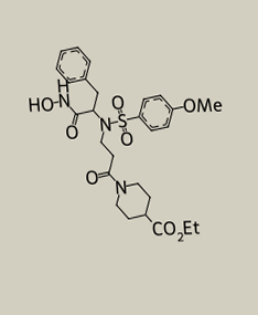 CCOC(=O)C1CCN(C(=O)CCN(C(Cc2ccccc2)C(=O)NO)S(=O)(=O)c2ccc(OC)cc2)CC1